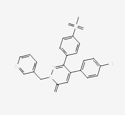 CS(=O)(=O)c1ccc(-c2nn(Cc3cccnc3)c(=O)cc2-c2ccc(Cl)cc2)cc1